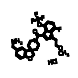 COCCn1cc(C(=O)N2CCC3(CC2)COc2ccc(CN)cc23)c2c(OC(F)(F)F)ccc(F)c21.Cl